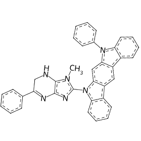 Cn1c(-n2c3ccccc3c3cc4c5ccccc5n(-c5ccccc5)c4cc32)nc2c1NCC(c1ccccc1)=N2